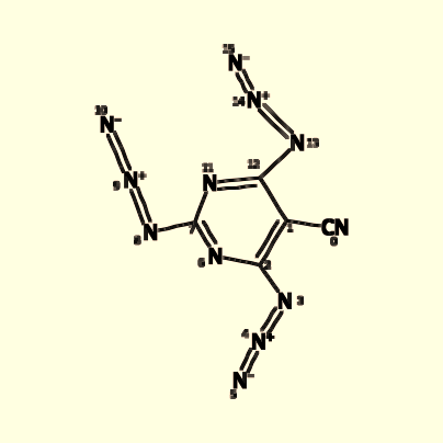 N#Cc1c(N=[N+]=[N-])nc(N=[N+]=[N-])nc1N=[N+]=[N-]